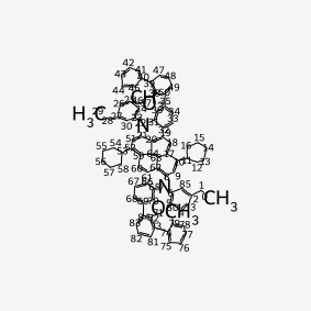 CCc1cccc(N(c2cc(C3CCCCC3)c3ccc4c(N(c5cccc(CC)c5)c5cccc6c5oc5c(-c7ccccc7C)cccc56)cc(C5CCCCC5)c5ccc2c3c54)c2cccc3c2oc2c(-c4ccccc4C)cccc23)c1